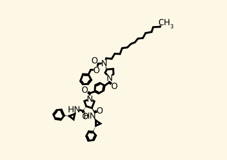 CCCCCCCCCCCCCCCN(C(=O)OCc1ccccc1)[C@@H]1CCN(C(=O)c2ccc(C(=O)N3C[C@@H](C(=O)N[C@H]4C[C@@H]4c4ccccc4)[C@H](C(=O)N[C@H]4C[C@@H]4c4ccccc4)C3)cc2)C1